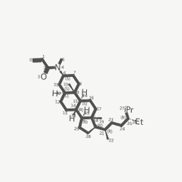 C=CC(=O)N(C)[C@H]1CC[C@@]2(C)[C@@H](CC[C@@H]3[C@@H]2CC[C@]2(C)[C@@H]([C@H](C)CC[C@@H](CC)C(C)C)CC[C@@H]32)C1